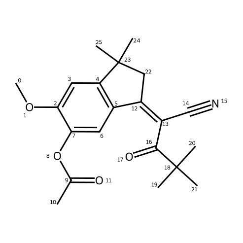 COc1cc2c(cc1OC(C)=O)C(=C(C#N)C(=O)C(C)(C)C)CC2(C)C